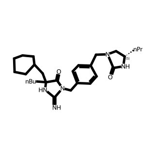 CCCCC1(CC2CCCCC2)NC(=N)N(Cc2ccc(CN3C[C@H](CCC)NC3=O)cc2)C1=O